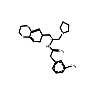 C=C(Cc1cccc(C)c1)N[C@@H](CC1C=C2OCCOC2=CC1)CN1CCCC1